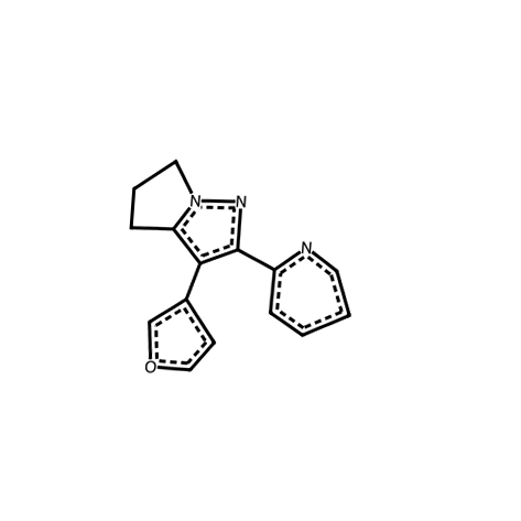 c1ccc(-c2nn3c(c2-c2ccoc2)CCC3)nc1